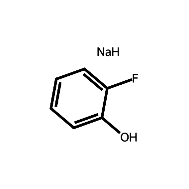 Oc1ccccc1F.[NaH]